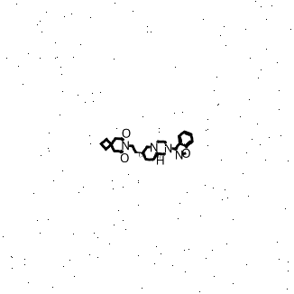 O=C1CC2(CCC2)CC(=O)N1CC[C@@H]1CC[C@H]2CN(c3noc4ccccc34)CCN2C1